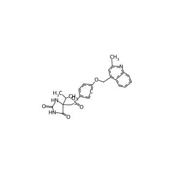 Cc1cc(COc2ccc(S(=O)(=O)CC3(C(C)C)NC(=O)NC3=O)cc2)c2ccccc2n1